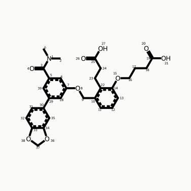 CN(C)C(=O)c1cc(OCc2cccc(OCCCC(=O)O)c2CCC(=O)O)cc(-c2ccc3c(c2)OCO3)c1